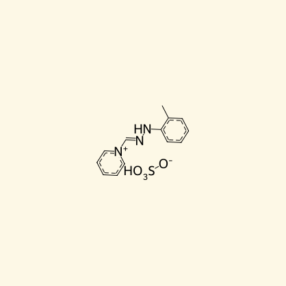 Cc1ccccc1NN=C[n+]1ccccc1.O=S(=O)([O-])O